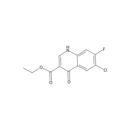 CCOC(=O)c1c[nH]c2cc(F)c(Cl)cc2c1=O